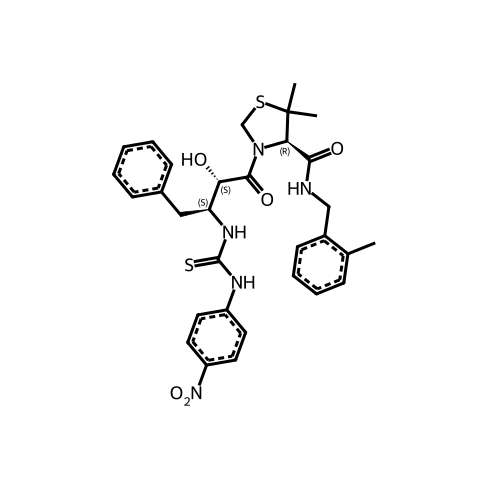 Cc1ccccc1CNC(=O)[C@H]1N(C(=O)[C@@H](O)[C@H](Cc2ccccc2)NC(=S)Nc2ccc([N+](=O)[O-])cc2)CSC1(C)C